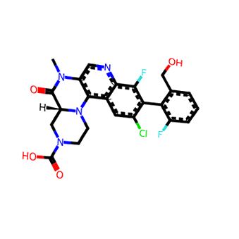 CN1C(=O)[C@H]2CN(C(=O)O)CCN2c2c1cnc1c(F)c(-c3c(F)cccc3CO)c(Cl)cc21